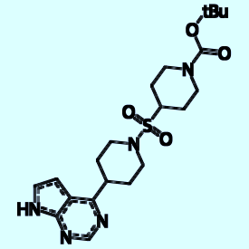 CC(C)(C)OC(=O)N1CCC(S(=O)(=O)N2CCC(c3ncnc4[nH]ccc34)CC2)CC1